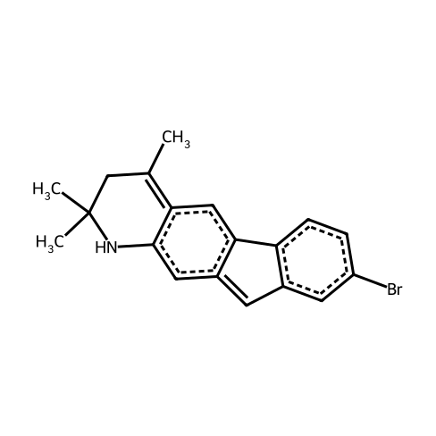 CC1=c2cc3c(cc2NC(C)(C)C1)=Cc1cc(Br)ccc1-3